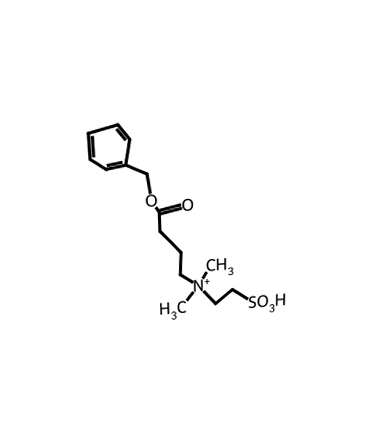 C[N+](C)(CCCC(=O)OCc1ccccc1)CCS(=O)(=O)O